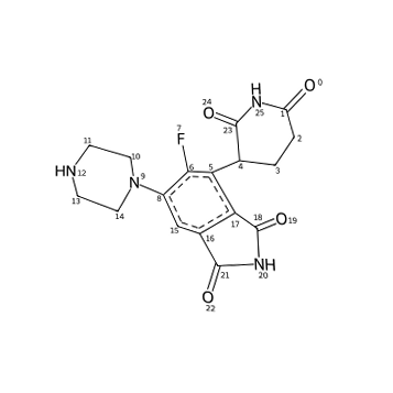 O=C1CCC(c2c(F)c(N3CCNCC3)cc3c2C(=O)NC3=O)C(=O)N1